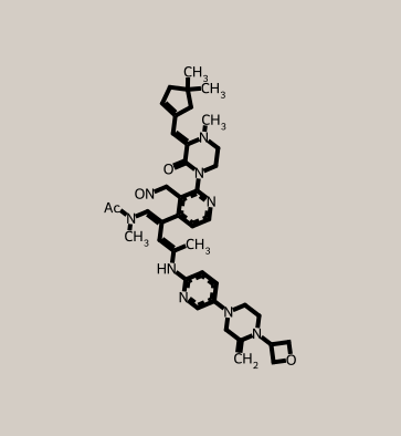 C=C1CN(c2ccc(N/C(C)=C/C(=C\N(C)C(C)=O)c3ccnc(N4CCN(C)/C(=C\C5=CCC(C)(C)C5)C4=O)c3CN=O)nc2)CCN1C1COC1